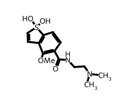 COc1c(C(=O)NCCN(C)C)ccc2c1C=CS2(O)O